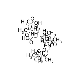 C=C(CCCNC(=O)C(C)(C)CC(C)(C)NC(=O)CC[C@H](NC(=O)C(C)(C)CC(C)(C)C(=O)O)C(=O)O)[C@H](NC(C)(C)C)C(C)=O